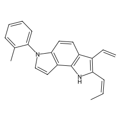 C=Cc1c(/C=C\C)[nH]c2c1ccc1c2ccn1-c1ccccc1C